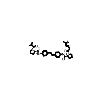 Cc1cc(CC(=O)N2CCC[C@H]2C(=O)NC2C=CC(/C=C/c3ccc(NC(=O)[C@@H]4CCCN4C(=O)C(C)C)cc3)=CC2)on1